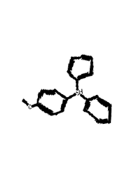 COc1ccc([SH](c2ccccc2)c2ccccc2)cc1